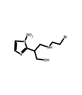 O=[N+]([O-])n1ccnc1C(CO)CNCCBr